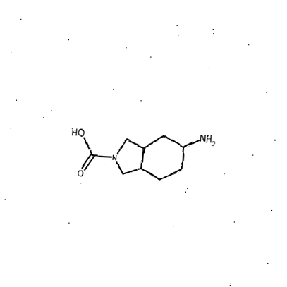 NC1CCC2CN(C(=O)O)CC2C1